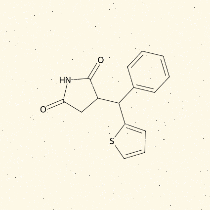 O=C1CC(C(c2ccccc2)c2cccs2)C(=O)N1